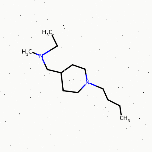 CCCCN1CCC(CN(C)CC)CC1